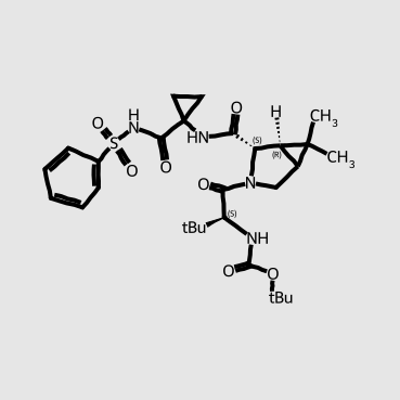 CC(C)(C)OC(=O)N[C@H](C(=O)N1CC2[C@@H]([C@H]1C(=O)NC1(C(=O)NS(=O)(=O)c3ccccc3)CC1)C2(C)C)C(C)(C)C